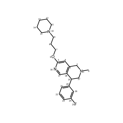 CN1Cc2cc(OCCCN3CCCCC3)ncc2C(c2cccc(F)c2)C1